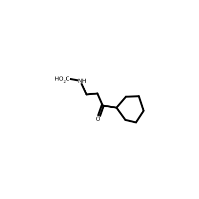 O=C(O)NCCC(=O)C1CCCCC1